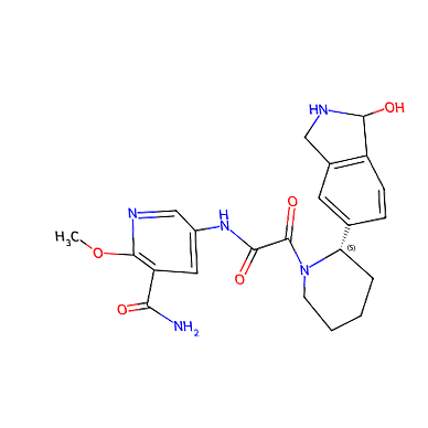 COc1ncc(NC(=O)C(=O)N2CCCC[C@H]2c2ccc3c(c2)CNC3O)cc1C(N)=O